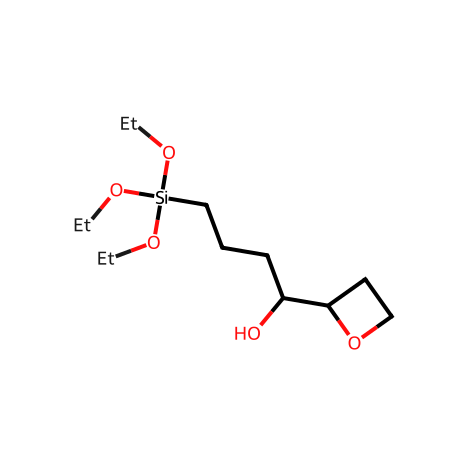 CCO[Si](CCCC(O)C1CCO1)(OCC)OCC